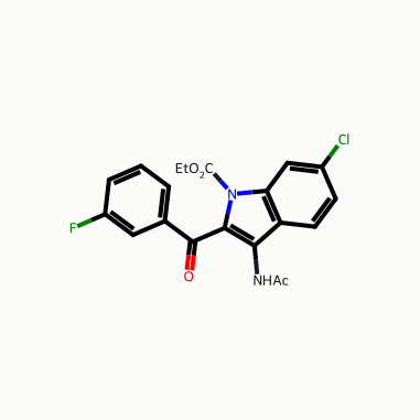 CCOC(=O)n1c(C(=O)c2cccc(F)c2)c(NC(C)=O)c2ccc(Cl)cc21